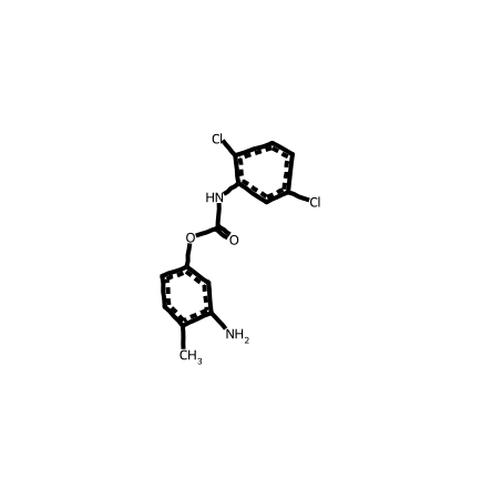 Cc1ccc(OC(=O)Nc2cc(Cl)ccc2Cl)cc1N